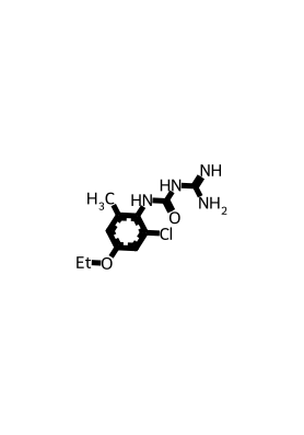 CCOc1cc(C)c(NC(=O)NC(=N)N)c(Cl)c1